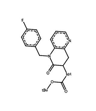 CC(C)(C)OC(=O)NC1Cc2ncccc2N(Cc2ccc(F)cc2)C1=O